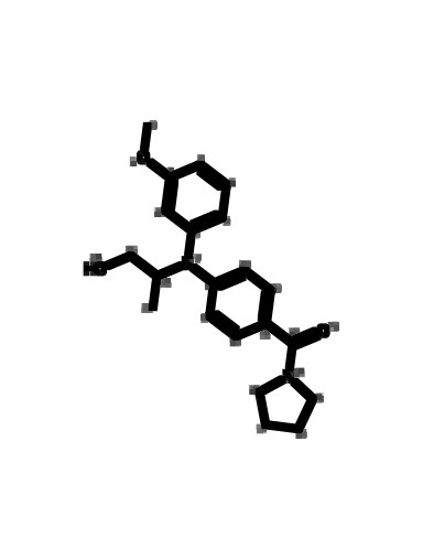 COc1cccc(N(c2ccc(C(=O)N3CCCC3)cc2)C(C)CO)c1